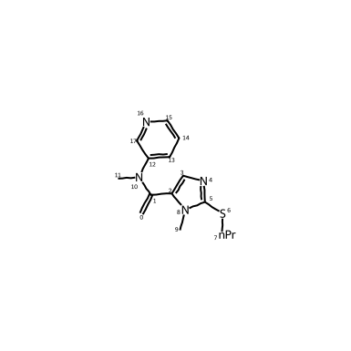 C=C(c1cnc(SCCC)n1C)N(C)c1cccnc1